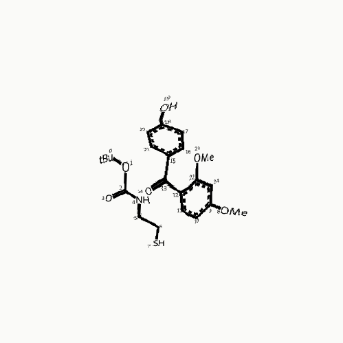 CC(C)(C)OC(=O)NCCS.COc1ccc(C(=O)c2ccc(O)cc2)c(OC)c1